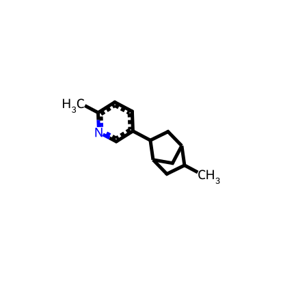 Cc1ccc(C2CC3CC2CC3C)cn1